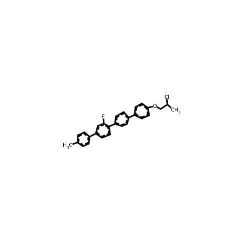 Cc1ccc(-c2ccc(-c3ccc(-c4ccc(OCC(C)Cl)cc4)cc3)c(F)c2)cc1